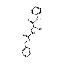 O=C(NCC(O)C(=O)Nc1ccccc1)OCc1ccccc1